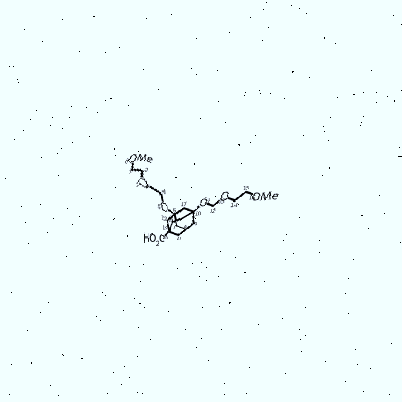 COCCOCOC12CC3CC(OCOCCOC)(C1)CC(C(=O)O)(C3)C2